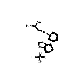 CCC(N)O.O=P(O)(O)O.Oc1ccccc1.c1ccc2c(c1)OCO2